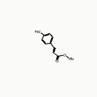 CC(C)(C)OC(=O)C=Cc1ccc(C#N)cc1